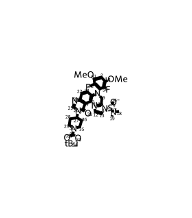 COc1cc(OC)c(F)c(N(Cc2nccn2[S+]([O-])N(C)C)c2ccc3ncn(C4CCN(C(=O)OC(C)(C)C)CC4)c(=O)c3c2)c1F